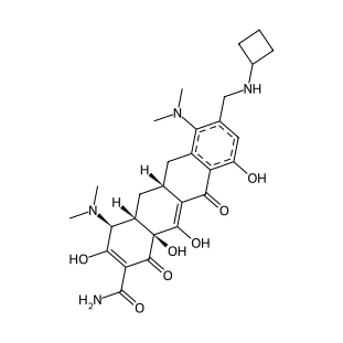 CN(C)c1c(CNC2CCC2)cc(O)c2c1C[C@H]1C[C@H]3[C@H](N(C)C)C(O)=C(C(N)=O)C(=O)[C@@]3(O)C(O)=C1C2=O